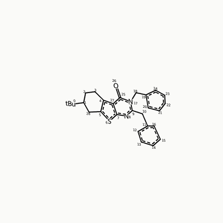 CC(C)(C)C1CCc2c(sc3nc(Cc4ccccc4)n(Cc4ccccc4)c(=O)c23)C1